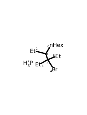 CCCCCCC(CC)C(Br)(CC)CC.P